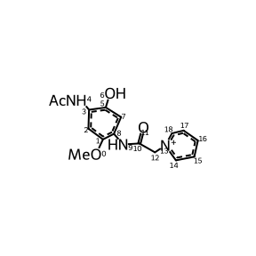 COc1cc(NC(C)=O)c(O)cc1NC(=O)C[n+]1ccccc1